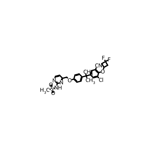 CC(C)(c1ccc(OCc2ccnc(NS(C)(=O)=O)n2)cc1)c1cc(Cl)c(OC2CC(F)(F)C2)c(C#N)c1